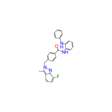 Cc1c2cccc(F)c2nn1Cc1ccc(C(=O)Nc2ccccc2Nc2ccccc2)cc1